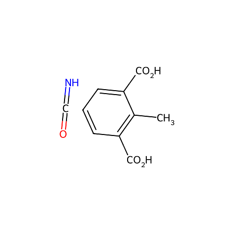 Cc1c(C(=O)O)cccc1C(=O)O.N=C=O